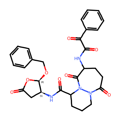 O=C1C[C@H](NC(=O)C2CCCN3C(=O)CCC(NC(=O)C(=O)c4ccccc4)C(=O)N23)[C@H](OCc2ccccc2)O1